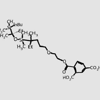 CCCC[Si](C)(C)[C@@](C)(CC)O[Si](C)(C)C(C)(CC)CCCOCCOC(=O)c1ccc(C(=O)O)cc1C(=O)O